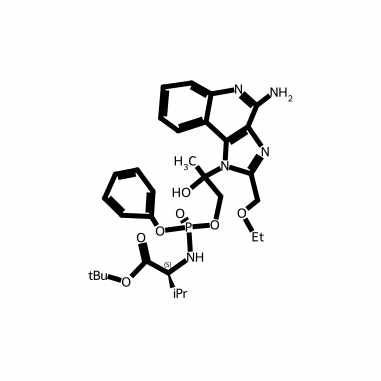 CCOCc1nc2c(N)nc3ccccc3c2n1C(C)(O)COP(=O)(N[C@H](C(=O)OC(C)(C)C)C(C)C)Oc1ccccc1